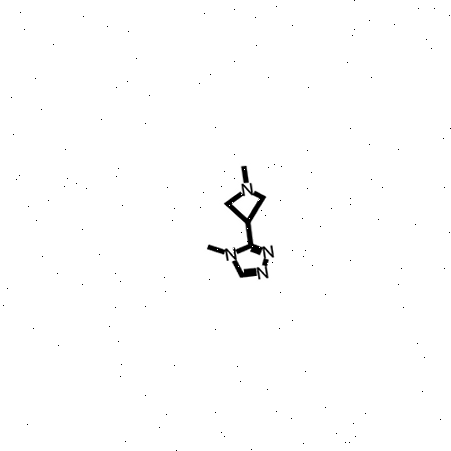 CN1CC(c2nncn2C)C1